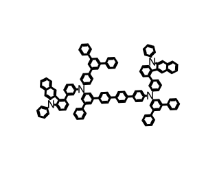 c1ccc(-c2cc(-c3ccccc3)cc(-c3ccc(N(c4cc(-c5ccccc5)cc(-c5ccc(-c6ccc(-c7ccc(N(c8cc(-c9ccccc9)cc(-c9ccccc9)c8)c8cccc(-c9cccc%10c9c9cc%11ccccc%11cc9n%10-c9ccccc9)c8)cc7)cc6)cc5)c4)c4cccc(-c5cccc6c5c5cc7ccccc7cc5n6-c5ccccc5)c4)cc3)c2)cc1